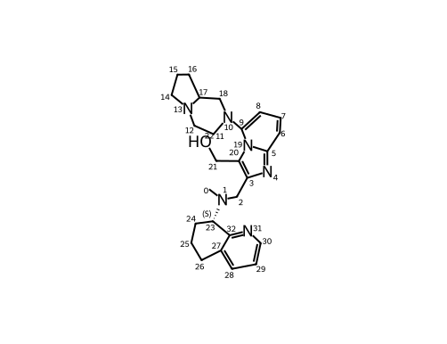 CN(Cc1nc2cccc(N3CCN4CCCC4C3)n2c1CO)[C@H]1CCCc2cccnc21